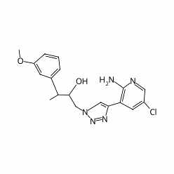 COc1cccc(C(C)C(O)Cn2cc(-c3cc(Cl)cnc3N)nn2)c1